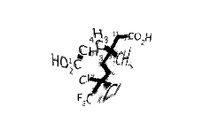 CC(=O)O.CC(C)(C=CC(Cl)(Cl)C(F)(F)F)CC(=O)O